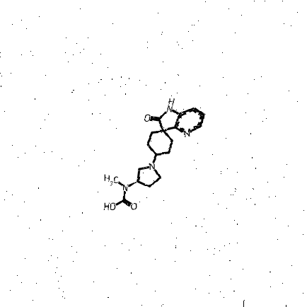 CN(C(=O)O)[C@@H]1CCN(C2CCC3(CC2)C(=O)Nc2cccnc23)C1